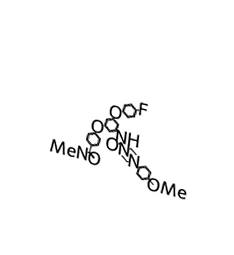 CNC(=O)c1ccc(Oc2cc(NC(=O)N3CCN(c4ccc(OC)cc4)CC3)cc(Oc3ccc(F)cc3)c2)cc1